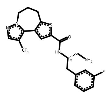 NC[C@H](Cc1cccc(F)c1)NC(=O)c1cc2c(s1)CCCn1ncc(C(F)(F)F)c1-2